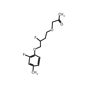 CC(=O)COCCC(F)COc1ccc(C)cc1F